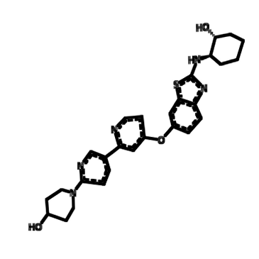 OC1CCN(c2ccc(-c3cc(Oc4ccc5nc(N[C@@H]6CCCC[C@H]6O)sc5c4)ccn3)cn2)CC1